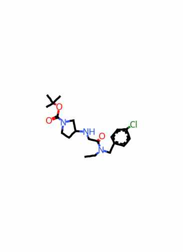 CCN(Cc1ccc(Cl)cc1)C(=O)CNC1CCN(C(=O)OC(C)(C)C)C1